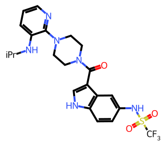 CC(C)Nc1cccnc1N1CCN(C(=O)c2c[nH]c3ccc(NS(=O)(=O)C(F)(F)F)cc23)CC1